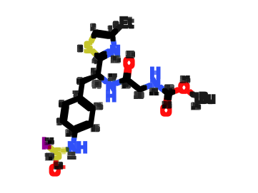 CCc1csc([C@H](Cc2ccc(N[S+]([O-])I)cc2)NC(=O)CNC(=O)OC(C)(C)C)n1